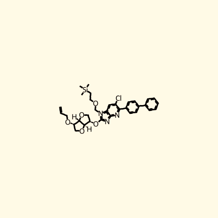 C=CCO[C@@H]1CO[C@H]2[C@H]1OC[C@H]2Oc1nc2nc(-c3ccc(-c4ccccc4)cc3)c(Cl)cc2n1COCC[Si](C)(C)C